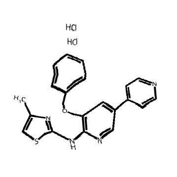 Cc1csc(Nc2ncc(-c3ccncc3)cc2Oc2ccccc2)n1.Cl.Cl